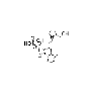 Cc1cccc2c(=O)[nH]c(CCN3CCCC3CO)cc12.O.O=S(=O)(O)O